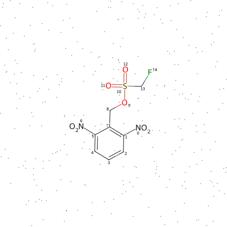 O=[N+]([O-])c1cccc([N+](=O)[O-])c1COS(=O)(=O)CF